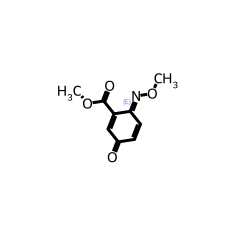 CO/N=C1\C=CC(=O)C=C1C(=O)OC